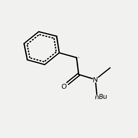 CCCCN(C)C(=O)[CH]c1ccccc1